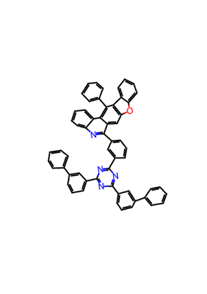 c1ccc(-c2cccc(-c3nc(-c4cccc(-c5ccccc5)c4)nc(-c4cccc(-c5nc6ccccc6c6c(-c7ccccc7)c7c(cc56)oc5ccccc57)c4)n3)c2)cc1